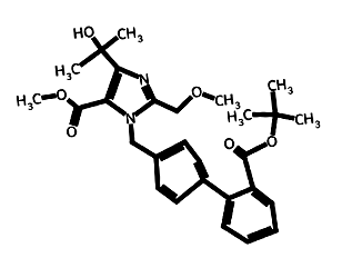 COCc1nc(C(C)(C)O)c(C(=O)OC)n1Cc1ccc(-c2ccccc2C(=O)OC(C)(C)C)cc1